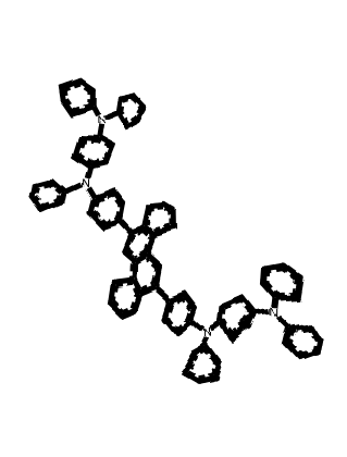 c1ccc(N(c2ccccc2)c2ccc(N(c3ccccc3)c3ccc(-c4cc5c6ccccc6c(-c6ccc(N(c7ccccc7)c7ccc(N(c8ccccc8)c8ccccc8)cc7)cc6)cc5c5ccccc45)cc3)cc2)cc1